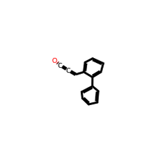 O=C=C=Cc1ccccc1-c1ccccc1